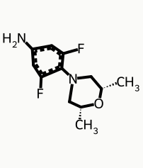 C[C@@H]1CN(c2c(F)cc(N)cc2F)C[C@H](C)O1